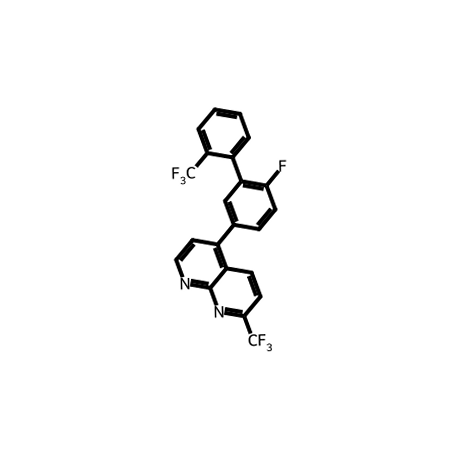 Fc1ccc(-c2ccnc3nc(C(F)(F)F)ccc23)cc1-c1ccccc1C(F)(F)F